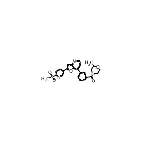 CC1CN(C(=O)c2cccc(-c3ccnc4cc(-c5ccc(S(C)(=O)=O)nc5)oc34)c2)CCO1